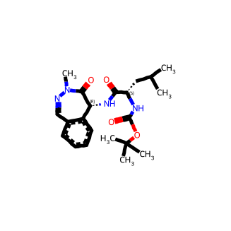 CC(C)C[C@H](NC(=O)OC(C)(C)C)C(=O)N[C@H]1C(=O)N(C)N=Cc2ccccc21